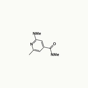 CNC(=O)c1cc(C)nc(NC)c1